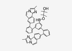 Cc1cn2ccc3cc(-c4ccccc4-c4cc(BOC(C)(C)C(C)(C)O)cc(-c5ccccc5-c5ccc6c(ccn7cc(C)nc67)c5)c4)ccc3c2n1